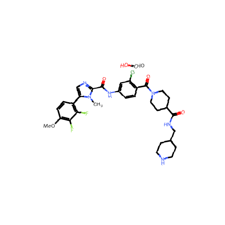 COc1ccc(-c2cnc(C(=O)Nc3ccc(C(=O)N4CCC(C(=O)NCC5CCNCC5)CC4)c(Cl)c3)n2C)c(F)c1F.O=CO